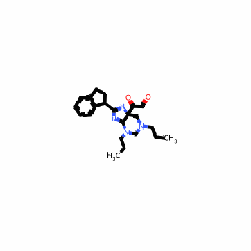 CCCN1CN(CCC)C2=NC(C3CCc4ccccc43)=NC2(C(=O)C=O)C1